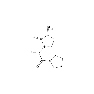 C[C@@H](C(=O)N1CCCC1)N1CC[C@H](N)C1=O